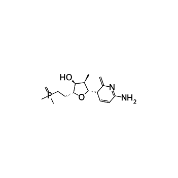 C=C1N=C(N)C=CC1[C@@H]1O[C@H](CCP(=C)(C)C)[C@@H](O)[C@H]1C